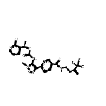 C=C(CCNC(=O)c1ccc(-c2nnn(C)c2NC(=O)O[C@H](C)c2cccnc2Cl)nc1)C(F)(F)F